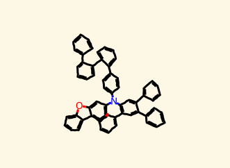 c1ccc(-c2cc(-c3ccccc3)c(N(c3ccc(-c4ccccc4-c4ccccc4-c4ccccc4)cc3)c3ccc4c(c3)oc3ccccc34)cc2-c2ccccc2)cc1